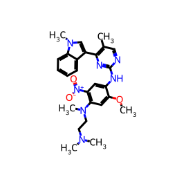 COc1cc(N(C)CCN(C)C)c([N+](=O)[O-])cc1Nc1ncc(C)c(-c2cn(C)c3ccccc23)n1